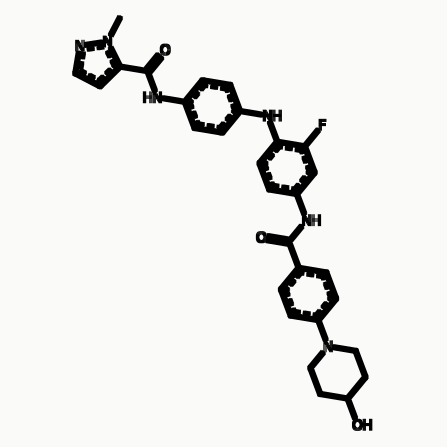 Cn1nccc1C(=O)Nc1ccc(Nc2ccc(NC(=O)c3ccc(N4CCC(O)CC4)cc3)cc2F)cc1